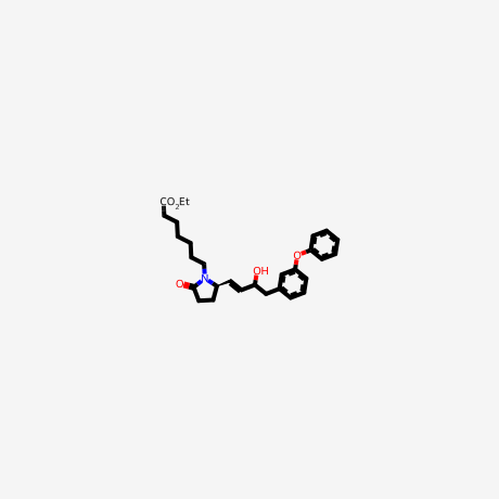 CCOC(=O)CCCCCCN1C(=O)CC[C@@H]1C=CC(O)Cc1cccc(Oc2ccccc2)c1